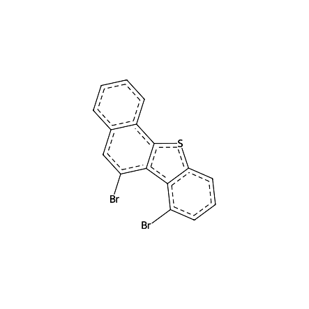 Brc1cccc2sc3c4ccccc4cc(Br)c3c12